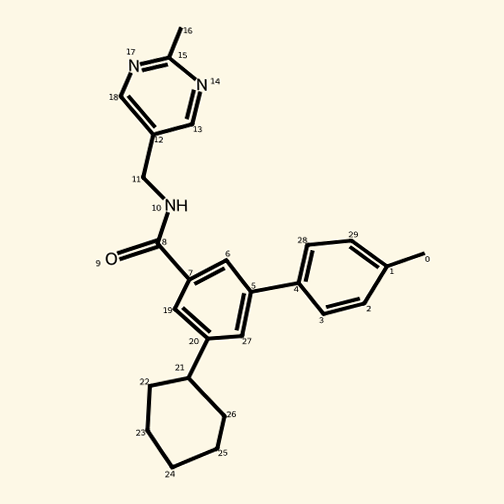 Cc1ccc(-c2cc(C(=O)NCc3cnc(C)nc3)cc(C3CCCCC3)c2)cc1